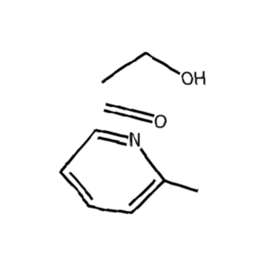 C=O.CCO.Cc1ccccn1